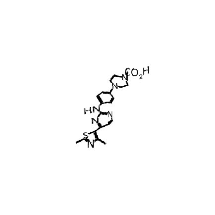 Cc1nc(C)c(-c2ccnc(Nc3ccc(N4CCN(C(=O)O)CC4)cc3)n2)s1